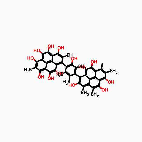 Bc1c(B)c(-c2c(B)c(O)c3c(O)c(O)c4c(O)c(B)c(O)c5c(O)c(O)c2c3c45)c(O)c(B)c1-c1c(O)c(B)c2c(B)c(O)c3c(O)c(B)c(C)c4c(O)c(O)c1c2c43